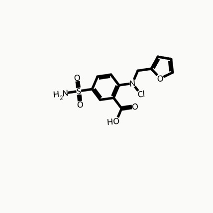 NS(=O)(=O)c1ccc(N(Cl)Cc2ccco2)c(C(=O)O)c1